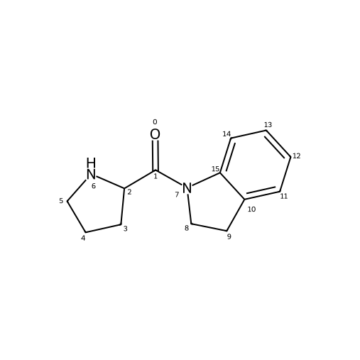 O=C(C1CCCN1)N1CCc2ccccc21